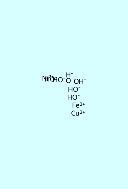 [Cu+2].[Fe+2].[Ni+2].[OH-].[OH-].[OH-].[OH-].[OH-].[OH-]